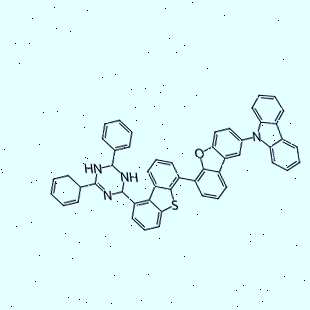 C1=CCC(C2=NC(c3cccc4sc5c(-c6cccc7c6oc6ccc(-n8c9ccccc9c9ccccc98)cc67)cccc5c34)NC(c3ccccc3)N2)C=C1